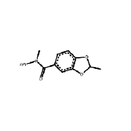 CCCN(C)C(=O)c1ccc2c(c1)OC(C)O2